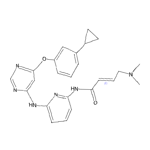 CN(C)C/C=C/C(=O)Nc1cccc(Nc2cc(Oc3cccc(C4CC4)c3)ncn2)n1